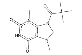 CN1CN(C(=O)C(C)(C)C)c2c1c(=O)[nH]c(=O)n2C